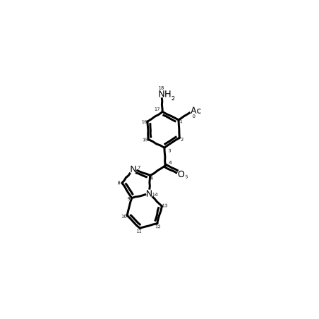 CC(=O)c1cc(C(=O)c2ncc3ccccn23)ccc1N